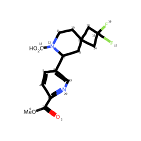 COC(=O)c1ccc(C2CC3(CCN2C(=O)O)CC(F)(F)C3)cn1